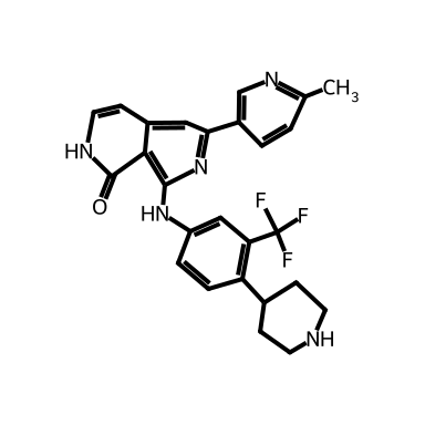 Cc1ccc(-c2cc3cc[nH]c(=O)c3c(Nc3ccc(C4CCNCC4)c(C(F)(F)F)c3)n2)cn1